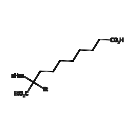 CCCCCCC(CC)(CCCCCCCC(=O)O)C(=O)OCC